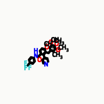 COc1c(C)c(Cc2cccc(C(=O)Nc3ccc(C(F)(F)F)cc3)c2-c2ccncc2)c(OC)c(OC)c1OC